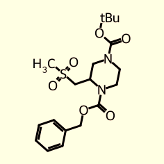 CC(C)(C)OC(=O)N1CCN(C(=O)OCc2ccccc2)C(CS(C)(=O)=O)C1